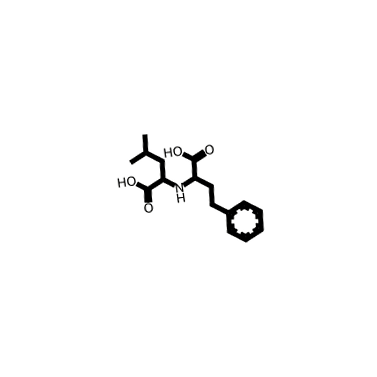 CC(C)CC(NC(CCc1ccccc1)C(=O)O)C(=O)O